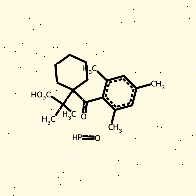 Cc1cc(C)c(C(=O)C2(C(C)(C)C(=O)O)CCCCC2)c(C)c1.O=P